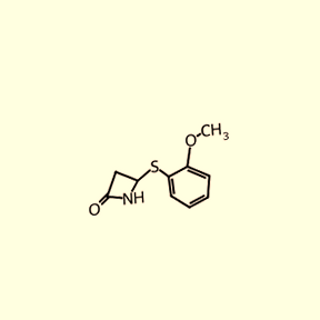 COc1ccccc1SC1CC(=O)N1